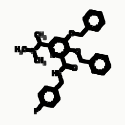 CC(c1cc(OCc2ccccc2)c(OCc2ccccc2)c(C(=O)NCc2ccc(F)cc2)n1)N(C)C